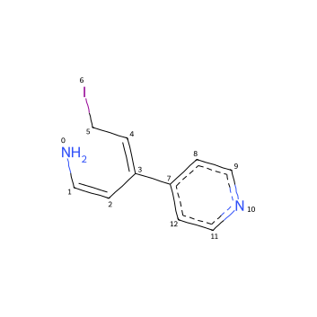 N/C=C\C(=C/CI)c1ccncc1